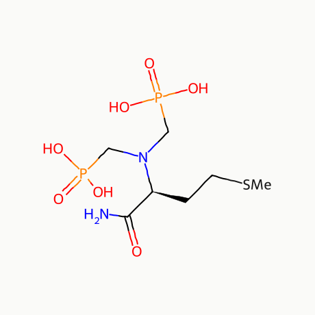 CSCC[C@@H](C(N)=O)N(CP(=O)(O)O)CP(=O)(O)O